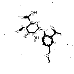 COCc1ccc(O[C@@H]2O[C@H](C(=O)O)[C@H](C=O)[C@H](O)[C@H]2O)c(C(C)=O)c1